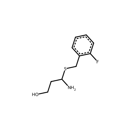 NC(CCO)SCc1ccccc1F